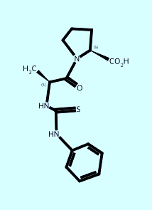 C[C@H](NC(=S)Nc1ccccc1)C(=O)N1CCC[C@H]1C(=O)O